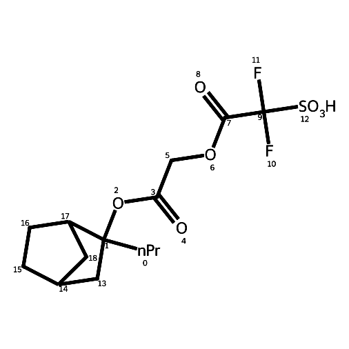 CCCC1(OC(=O)COC(=O)C(F)(F)S(=O)(=O)O)CC2CCC1C2